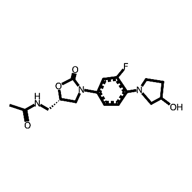 CC(=O)NC[C@H]1CN(c2ccc(N3CCC(O)C3)c(F)c2)C(=O)O1